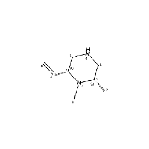 C=C[C@@H]1CNC[C@H](C)N1I